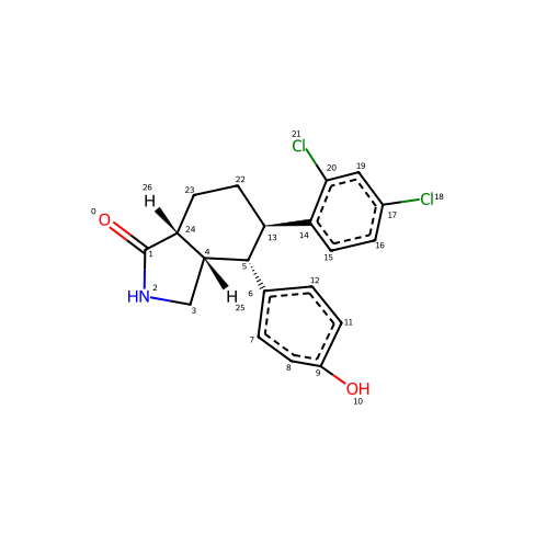 O=C1NC[C@H]2[C@@H](c3ccc(O)cc3)[C@H](c3ccc(Cl)cc3Cl)CC[C@@H]12